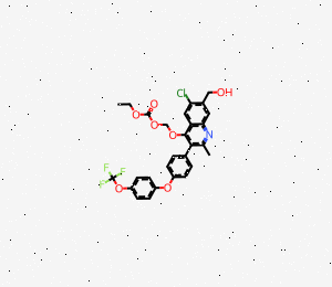 CCOC(=O)OCOc1c(-c2ccc(Oc3ccc(OC(F)(F)F)cc3)cc2)c(C)nc2cc(CO)c(Cl)cc12